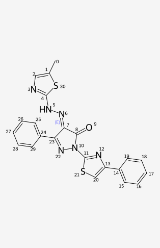 Cc1cnc(N/N=C2/C(=O)N(c3nc(-c4ccccc4)cs3)N=C2c2ccccc2)s1